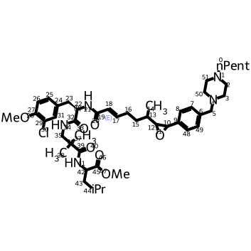 CCCCCN1CCN(Cc2ccc(C3OC3C(C)CC/C=C/C(=O)N[C@H](Cc3ccc(OC)c(Cl)c3)C(=O)NCC(C)(C)C(=O)NC(CC(C)C)C(=O)OC)cc2)CC1